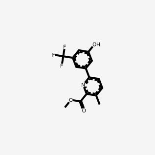 COC(=O)c1nc(-c2cc(O)cc(C(F)(F)F)c2)ccc1C